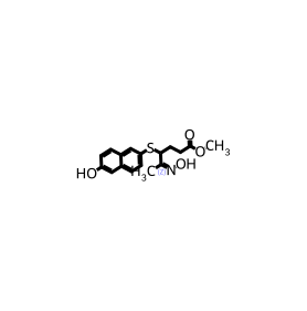 COC(=O)CCC(Sc1ccc2cc(O)ccc2c1)/C(C)=N\O